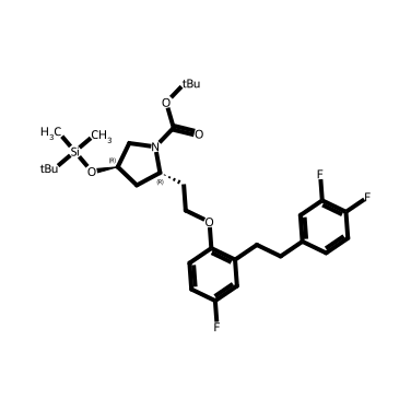 CC(C)(C)OC(=O)N1C[C@H](O[Si](C)(C)C(C)(C)C)C[C@H]1CCOc1ccc(F)cc1CCc1ccc(F)c(F)c1